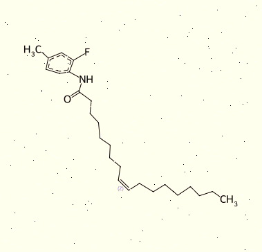 CCCCCCCC/C=C\CCCCCCCC(=O)Nc1ccc(C)cc1F